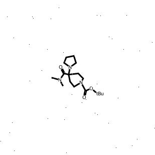 CN(C)C(=O)C1(N2CCCC2)CCN(C(=O)OC(C)(C)C)CC1